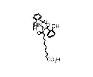 O=C(O)CCCCCCCCC(=O)N(NC(=O)c1ccccc1O)C(=O)c1ccccc1O